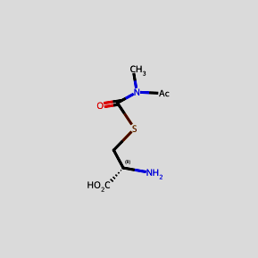 CC(=O)N(C)C(=O)SC[C@H](N)C(=O)O